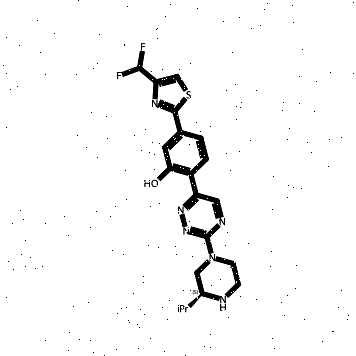 CC(C)[C@H]1CN(c2ncc(-c3ccc(-c4nc(C(F)F)cs4)cc3O)nn2)CCN1